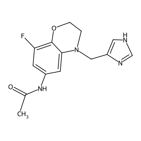 CC(=O)Nc1cc(F)c2c(c1)N(Cc1c[nH]cn1)CCO2